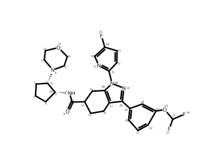 O=C(N[C@@H]1CCC[C@@H]1N1CCOCC1)C1CCc2c(-c3cccc(OC(F)F)c3)nn(-c3ccc(F)cn3)c2C1